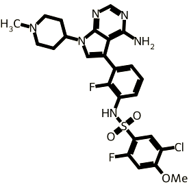 COc1cc(F)c(S(=O)(=O)Nc2cccc(-c3cn(C4CCN(C)CC4)c4ncnc(N)c34)c2F)cc1Cl